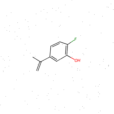 C=C(C)c1ccc(F)c(O)c1